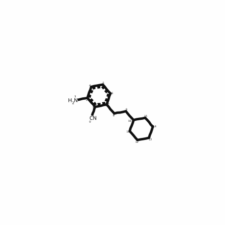 N#Cc1c(N)cccc1CCC1CCCCC1